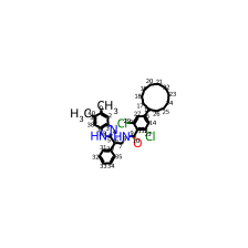 Cc1cc2nc(C(CNC(=O)c3c(Cl)cc(C4CCCCCCCCCC4)cc3Cl)c3ccccc3)[nH]c2cc1C